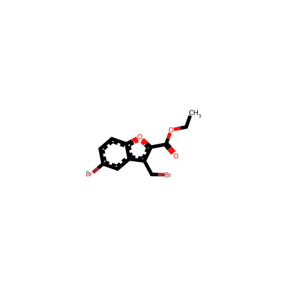 CCOC(=O)c1oc2ccc(Br)cc2c1CBr